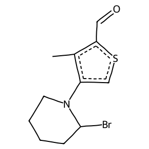 Cc1c(N2CCCCC2Br)csc1C=O